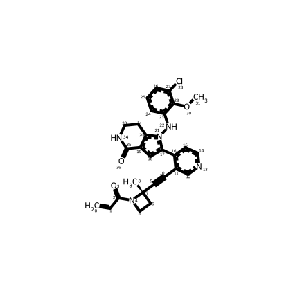 C=CC(=O)N1CC[C@@]1(C)C#Cc1cnccc1-c1cc2c(n1Nc1cccc(Cl)c1OC)CCNC2=O